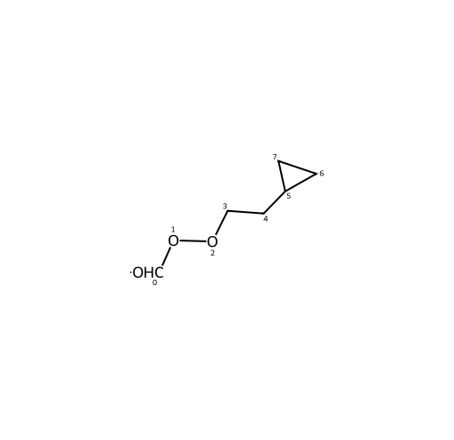 O=[C]OOCCC1CC1